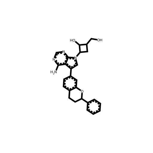 Nc1ncnc2c1c(-c1ccc3c(c1)OC(c1ccccc1)CC3)cn2C1CC(CO)C1O